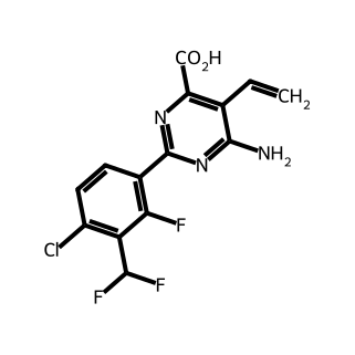 C=Cc1c(N)nc(-c2ccc(Cl)c(C(F)F)c2F)nc1C(=O)O